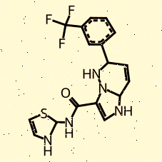 O=C(NC1NC=CS1)C1=CNC2C=CC(c3cccc(C(F)(F)F)c3)NN12